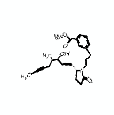 CC#CC[C@H](C)[C@@H](O)C=C[C@H]1CCC(=O)N1CCCc1cccc(C(=O)OC)c1